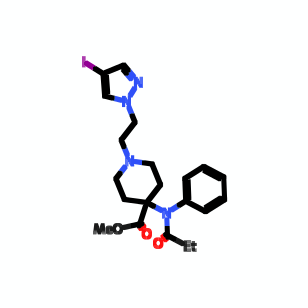 CCC(=O)N(c1ccccc1)C1(C(=O)OC)CCN(CCn2cc(I)cn2)CC1